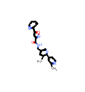 Cc1cc(-c2ncc(CNC(=O)c3cc(-c4ccccn4)on3)cc2C)ccn1